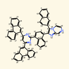 c1ccc2cc(-c3c(-c4ccc(-c5nc(-c6cc7ccccc7c7ccccc67)cc(-c6cc7ccccc7c7ccccc67)n5)c5ccccc45)nc4cnccn34)ccc2c1